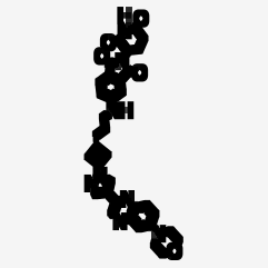 O=C1CCC(N2C(=O)c3ccc(NCCC[C@H]4C[C@@H](n5cc(-c6cnc7cc(N8CCOCC8)ccc7n6)cn5)C4)cc3C2=O)C(=O)N1